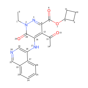 CCn1nc(C(=O)OC2CCC2)c(C(C)=O)c(Nc2cncc3ccccc23)c1=O